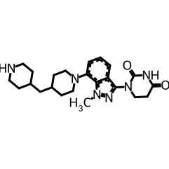 Cn1nc(N2CCC(=O)NC2=O)c2cccc(N3CCC(CC4CCNCC4)CC3)c21